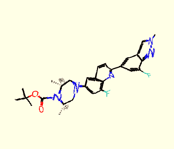 C[C@@H]1CN(c2cc(F)c3nc(-c4cc(F)c5nn(C)cc5c4)ccc3c2)C[C@H](C)N1C(=O)OC(C)(C)C